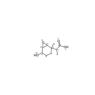 CC(C(=O)O)C1(C)CCC(O)C2OC21